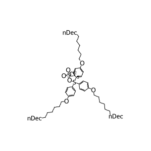 CCCCCCCCCCCCCCCCOc1ccc(S(OS(=O)(=O)C(F)(F)F)(c2ccc(OCCCCCCCCCCCCCCCC)cc2)c2ccc(OCCCCCCCCCCCCCCCC)cc2)cc1